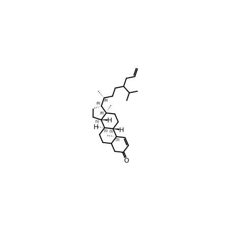 C=CCC(CC[C@@H](C)[C@H]1CC[C@H]2[C@@H]3CCC4CC(=O)C=C[C@]4(C)[C@H]3CC[C@]12C)C(C)C